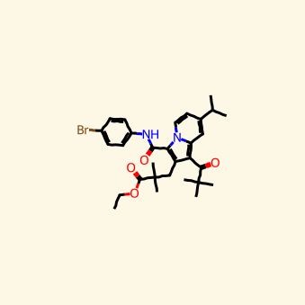 CCOC(=O)C(C)(C)Cc1c(C(=O)C(C)(C)C)c2cc(C(C)C)ccn2c1C(=O)Nc1ccc(Br)cc1